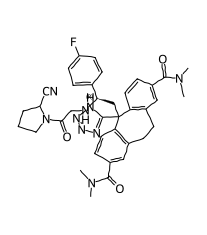 CN(C)C(=O)c1ccc2c(c1)CCc1cc(C(=O)N(C)C)ccc1C2(C[C@@H](NCC(=O)N1CCCC1C#N)c1ccc(F)cc1)c1nnn[nH]1